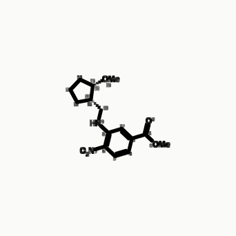 COC(=O)c1ccc([N+](=O)[O-])c(NC[C@@H]2CCC[C@@H]2OC)c1